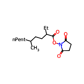 CCCCCC(C)CCC(CC)C(=O)ON1C(=O)CCC1=O